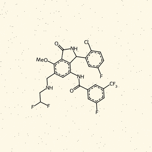 COc1c(CNCC(F)F)cc(NC(=O)c2cc(F)cc(C(F)(F)F)c2)c2c1C(=O)NC2c1cc(F)ccc1Cl